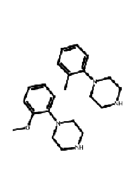 COc1ccccc1N1CCNCC1.Cc1ccccc1N1CCNCC1